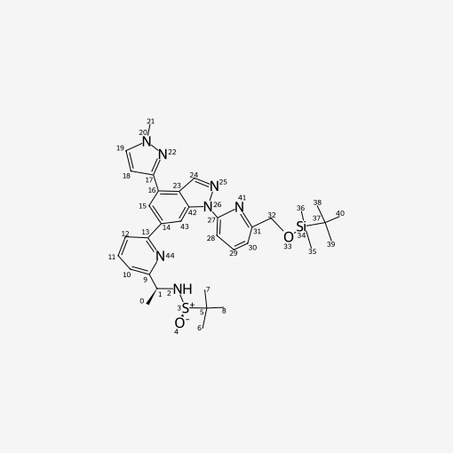 C[C@H](N[S@+]([O-])C(C)(C)C)c1cccc(-c2cc(-c3ccn(C)n3)c3cnn(-c4cccc(CO[Si](C)(C)C(C)(C)C)n4)c3c2)n1